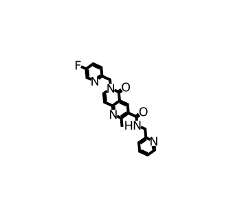 Cc1nc2ccn(Cc3ccc(F)cn3)c(=O)c2cc1C(=O)NCc1ccccn1